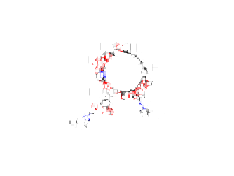 CCN(CC)CCC(=O)O[C@H]1CC[C@H](CC(C)[C@H]2CC(=O)C(C)C=C(C)[C@H](OC(=O)CCN(CC)CC)C(OC)C(=O)[C@@H](C)CC(C)C=CC=CC=C(C)C(OC)CC3CC[C@H](C)[C@](O)(O3)C(=O)C(=O)N3CCCCC3C(=O)O2)CC1OC